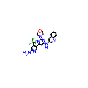 Nc1cc(C(F)(F)F)c(-c2cc(Nc3cnc4ccccc4c3)nc(N3CCOCC3)n2)cn1